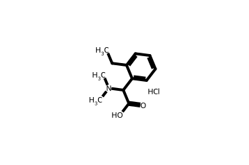 CCc1ccccc1C(C(=O)O)N(C)C.Cl